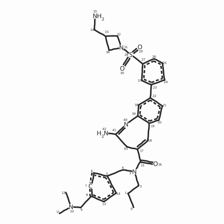 CCCN(Cc1ccc(CN(C)C)cc1)C(=O)C1=Cc2ccc(-c3cccc(S(=O)(=O)N4CC(CN)C4)c3)cc2N=C(N)C1